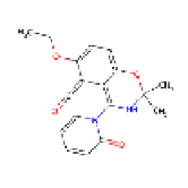 CCOc1ccc2c(c1=C=O)=C(n1ccccc1=O)NC(C)(C)O2